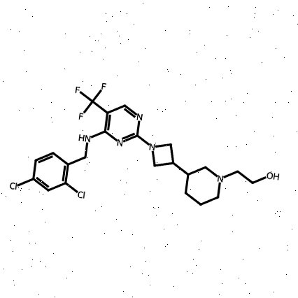 OCCN1CCCC(C2CN(c3ncc(C(F)(F)F)c(NCc4ccc(Cl)cc4Cl)n3)C2)C1